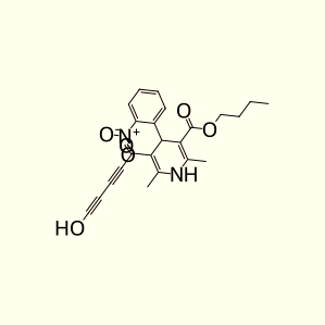 CCCCOC(=O)C1=C(C)NC(C)=C(C(=O)C#CC#CO)C1c1ccccc1[N+](=O)[O-]